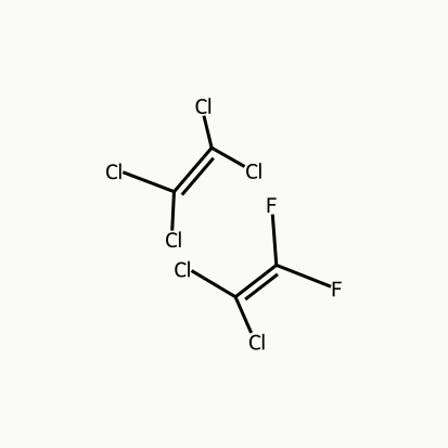 ClC(Cl)=C(Cl)Cl.FC(F)=C(Cl)Cl